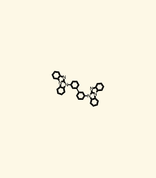 c1cc(-c2cccc(-n3c4ccccc4n4c5ccccc5nc34)c2)cc(-n2c3ccccc3n3c4ccccc4nc23)c1